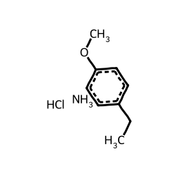 CCc1ccc(OC)cc1.Cl.N